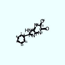 O=C1N=c2nc(-c3ccccc3)[nH]c2=NC1=O